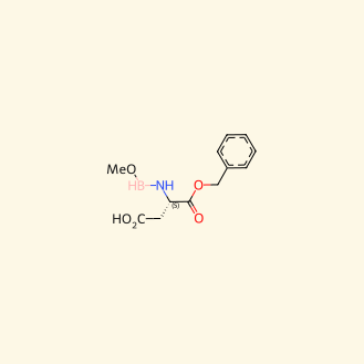 COBN[C@@H](CC(=O)O)C(=O)OCc1ccccc1